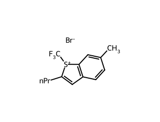 CCCc1cc2ccc(C)cc2[s+]1C(F)(F)F.[Br-]